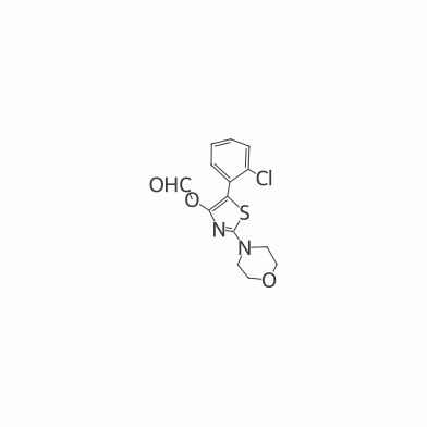 O=COc1nc(N2CCOCC2)sc1-c1ccccc1Cl